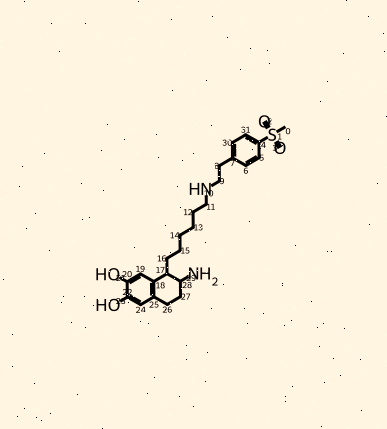 CS(=O)(=O)c1ccc(CCNCCCCCCC2c3cc(O)c(O)cc3CCC2N)cc1